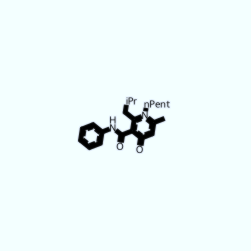 CCCCCn1c(C)cc(=O)c(C(=O)Nc2ccccc2)c1CC(C)C